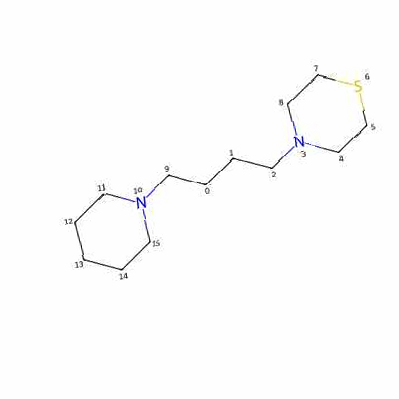 [CH](CCN1CCSCC1)CN1CCCCC1